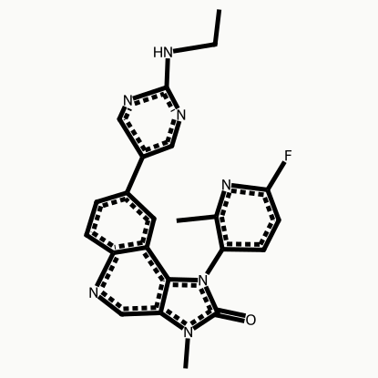 CCNc1ncc(-c2ccc3ncc4c(c3c2)n(-c2ccc(F)nc2C)c(=O)n4C)cn1